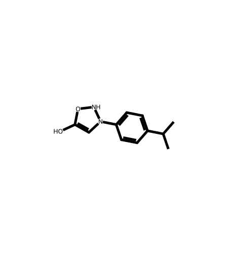 CC(C)c1ccc(N2C=C(O)ON2)cc1